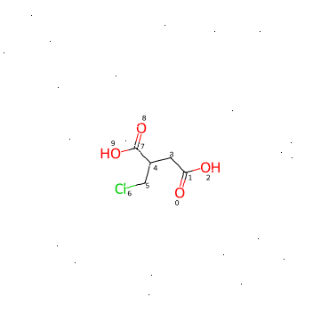 O=C(O)CC(CCl)C(=O)O